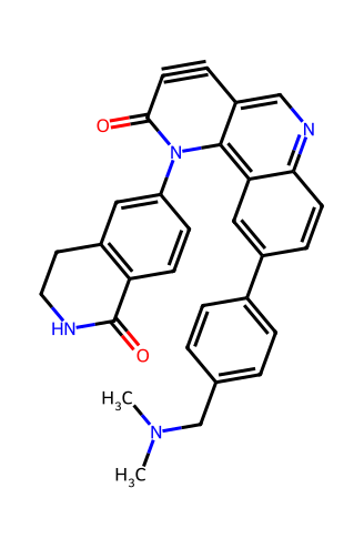 CN(C)Cc1ccc(-c2ccc3ncc4c#cc(=O)n(-c5ccc6c(c5)CCNC6=O)c4c3c2)cc1